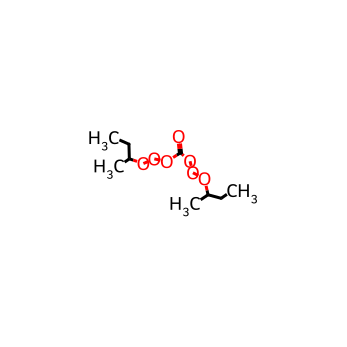 CCC(C)OOOC(=O)OOOC(C)CC